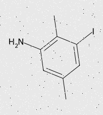 Cc1cc(N)c(C)c(I)c1